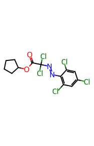 O=C(OC1CCCC1)C(Cl)(Cl)N=Nc1c(Cl)cc(Cl)cc1Cl